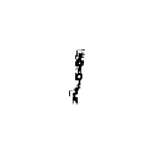 N#C/C(F)=C/C=C/CC[C@H]1CC[C@H](OCc2ccc(OC(F)(F)F)cc2)CC1